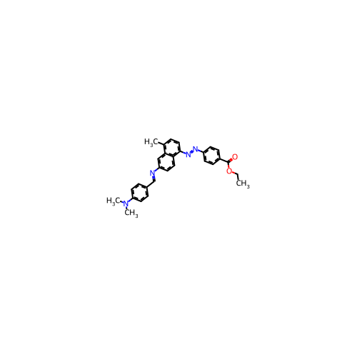 CCOC(=O)c1ccc(N=Nc2ccc(C)c3cc(/N=C/c4ccc(N(C)C)cc4)ccc23)cc1